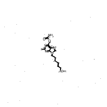 CCCCCCCCCCCCCCCCn1cnc2c(OC(N)=O)nc(F)nc21